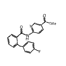 COC(=O)c1ccc(NC(=O)c2ccccc2-c2ccc(F)cc2)nc1